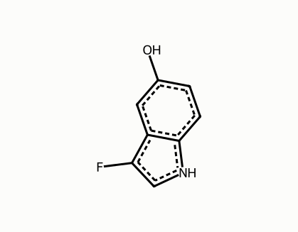 Oc1ccc2[nH]cc(F)c2c1